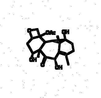 CC(=O)OC12COC1C[C@H](O)[C@@]1(C)C(=O)[C@H](O)C3=C(C)CCC4(O)C(C21)[C@@]34C